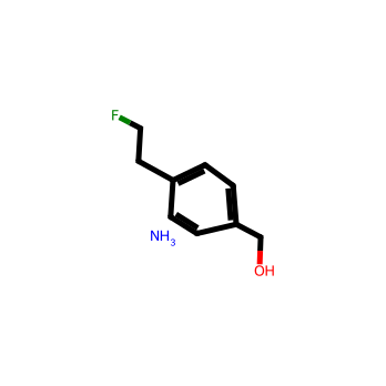 N.OCc1ccc(CCF)cc1